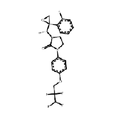 C[C@@H](N1CCN(c2ccc(OCC(F)(F)C(F)F)cc2)C1=O)[C@@]1(c2ccccc2F)CO1